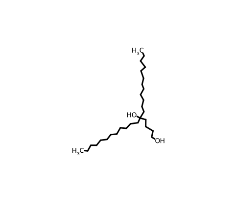 CCCCCCCCCCCCC(O)(CCCCO)CCCCCCCCCCCC